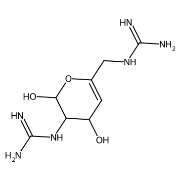 N=C(N)NCC1=CC(O)C(NC(=N)N)C(O)O1